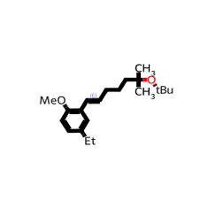 CCc1ccc(OC)c(/C=C/CCCC(C)(C)OC(C)(C)C)c1